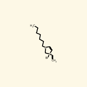 C=C[N+]1(Br)C=CN(CCCCCCC)C1